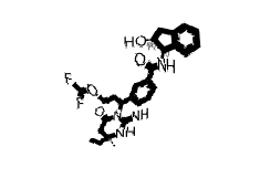 CC[C@@]1(C)CC(=O)N(C(CCOC(F)F)c2cccc(C(=O)N[C@@H]3c4ccccc4C[C@H]3O)c2)C(=N)N1